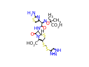 CC(C)(O/N=C(\C(=O)N[C@@H]1C(=O)N2C(C(=O)O)=C(SCSc3c[nH]nn3)CS[C@@H]12)c1csc(N)n1)C(=O)O